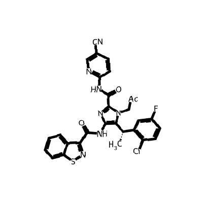 CC(=O)Cn1c(C(=O)Nc2ccc(C#N)cn2)nc(NC(=O)c2nsc3ccccc23)c1[C@@H](C)c1cc(F)ccc1Cl